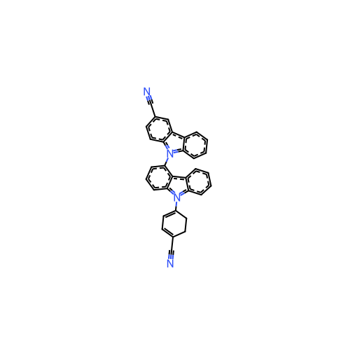 N#CC1=CC=C(n2c3ccccc3c3c(-n4c5ccccc5c5cc(C#N)ccc54)cccc32)CC1